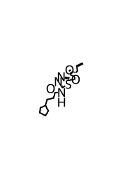 C=CCS(=O)(=O)c1nnc(NC(=O)CCC2CCCC2)s1